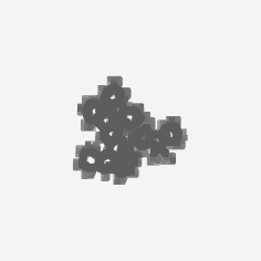 CC(C)c1ccc2c(c1-c1cc3c(cc1N(c1ccccc1)c1ccc4c(c1)C(C)(C)c1ccccc1-4)C1(c4ccccc4-c4ccccc41)c1ccccc1-3)CCCC2